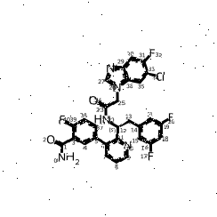 NC(=O)c1cc(-c2cccnc2[C@H](Cc2cc(F)cc(F)c2)NC(=O)Cn2cnc3cc(F)c(Cl)cc32)ccc1F